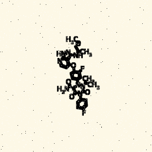 COCC(C)Nc1n[nH]c2nccc(Oc3ccc(N4[C@H](C(N)=O)C(=O)N(c5ccc(F)cc5)C(=O)N4C(C)C)cc3F)c12